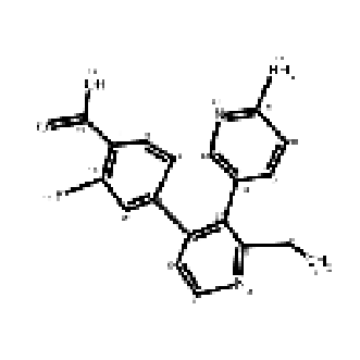 CCc1nccc(-c2ccc(C(=O)O)c(F)c2)c1-c1ccc(N)nc1